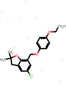 CC1(C)Cc2cc(Cl)cc(COc3ccc(OCC(=O)O)cc3)c2O1